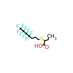 CCC(SCCCC(F)(F)C(F)(F)C(F)(F)C(F)(F)F)C(=O)O